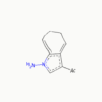 CC(=O)c1cn(N)c2c1=CCCC=2